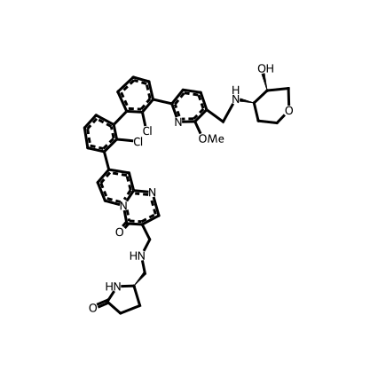 COc1nc(-c2cccc(-c3cccc(-c4ccn5c(=O)c(CNC[C@H]6CCC(=O)N6)cnc5c4)c3Cl)c2Cl)ccc1CN[C@@H]1CCOC[C@@H]1O